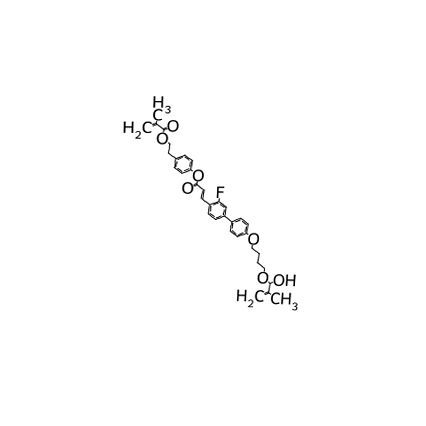 C=C(C)C(=O)OCCc1ccc(OC(=O)/C=C/c2ccc(-c3ccc(OCCCCOC(O)C(=C)C)cc3)cc2F)cc1